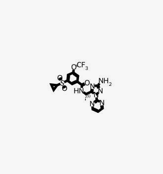 C[C@H](NC(=O)c1cc(OC(F)(F)F)cc(S(=O)(=O)C2CC2)c1)c1nc(N)nn1-c1ncccn1